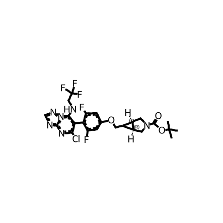 CC(C)(C)OC(=O)N1C[C@@H]2C(COc3cc(F)c(-c4c(Cl)nc5ncnn5c4NCC(F)(F)F)c(F)c3)[C@@H]2C1